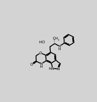 C[C@@H](Cc1cc2cn[nH]c2c2c1OCC(=O)N2)Nc1ccccc1.Cl